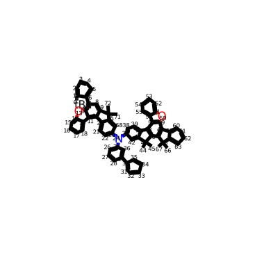 CC(C)(C)c1ccccc1-c1cc2c(c3c1oc1ccccc13)-c1ccc(N(c3cccc(-c4ccccc4)c3)c3ccc4c(c3)C(C)(C)c3c5c(c6oc7ccccc7c6c3-4)-c3ccccc3C5(C)C)cc1C2(C)C